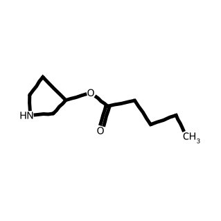 CCCCC(=O)OC1CCNC1